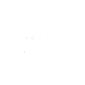 FC(F)(F)S(F)(F)(F)(F)c1ccccc1